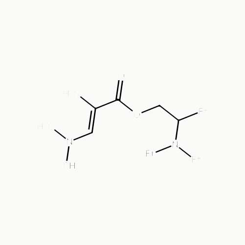 CCC(COC(=O)C(C)=CN(C)C)N(CC)CC